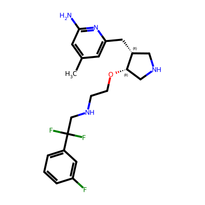 Cc1cc(N)nc(C[C@@H]2CNC[C@@H]2OCCNCC(F)(F)c2cccc(F)c2)c1